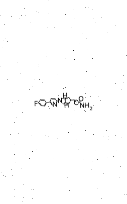 NC(=O)OCC1C[C@@H]2CN(c3ccc(-c4ccc(F)cc4)cn3)C[C@@H]2C1